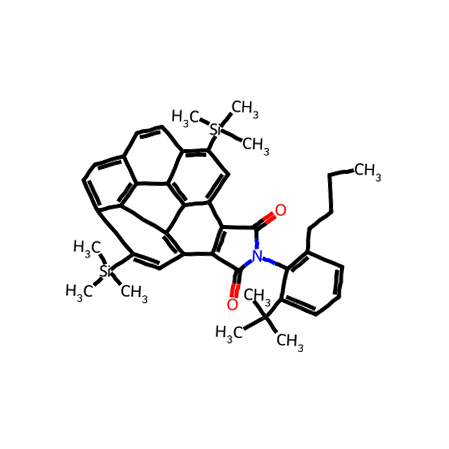 CCCCc1cccc(C(C)(C)C)c1-n1c(=O)c2c3cc([Si](C)(C)C)c4ccc5ccc6c([Si](C)(C)C)cc(c2c1=O)c1c6c5c4c31